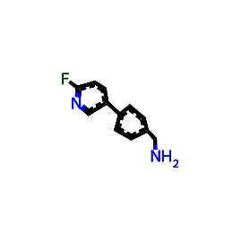 NCc1ccc(-c2ccc(F)nc2)cc1